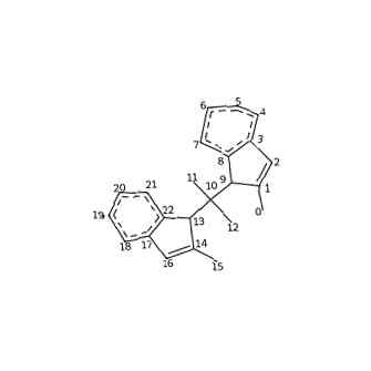 CC1=Cc2ccccc2C1C(C)(C)C1C(C)=Cc2ccccc21